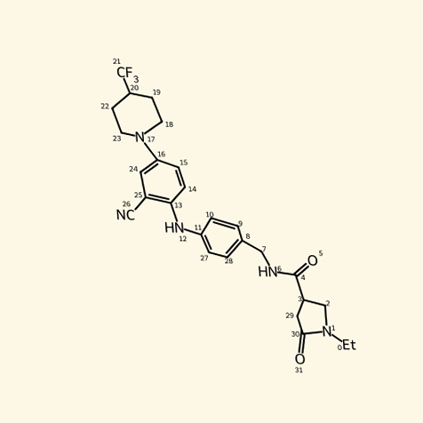 CCN1CC(C(=O)NCc2ccc(Nc3ccc(N4CCC(C(F)(F)F)CC4)cc3C#N)cc2)CC1=O